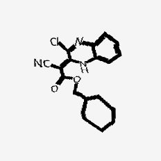 N#CC(C(=O)OCC1CCCCC1)=C1Nc2ccccc2N=C1Cl